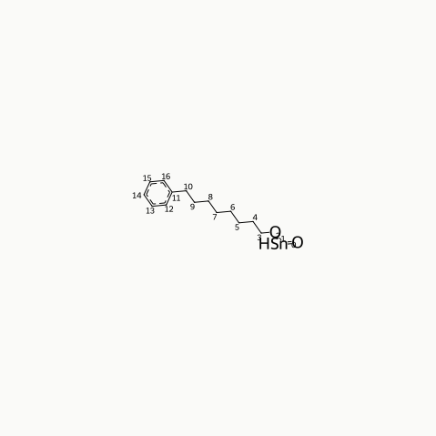 [O]=[SnH][O]CCCCCCCCc1ccccc1